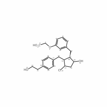 O=C(O)COc1cccc(C[C@H]2C(O)CC(Cl)C2Cc2ccc(CCO)cc2)c1